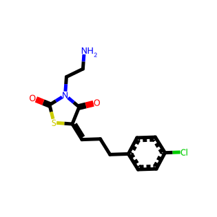 NCCN1C(=O)SC(=CCCc2ccc(Cl)cc2)C1=O